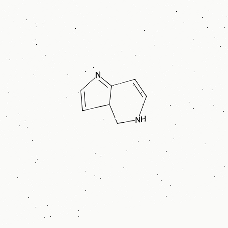 C1=CC2CNC=CC2=N1